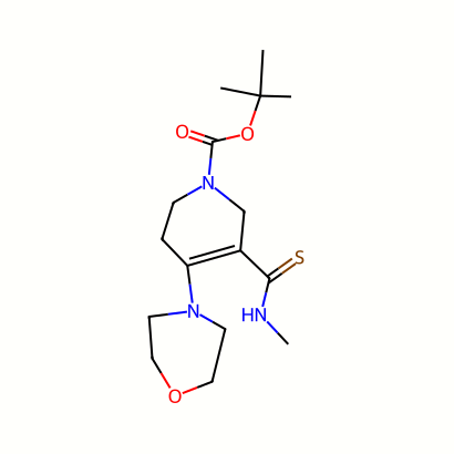 CNC(=S)C1=C(N2CCOCC2)CCN(C(=O)OC(C)(C)C)C1